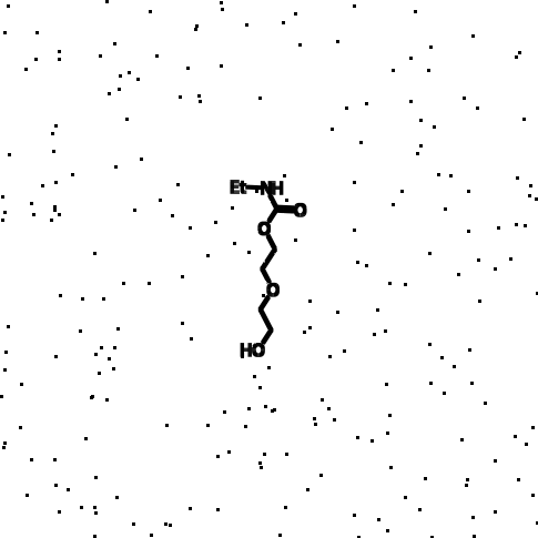 CCNC(=O)OCCOCCO